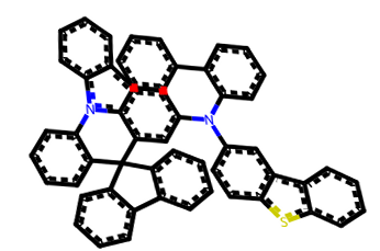 c1ccc(-c2ccccc2N(c2ccc3sc4ccccc4c3c2)c2cc3c4c(c2)c2ccccc2n4-c2ccccc2C32c3ccccc3-c3ccccc32)cc1